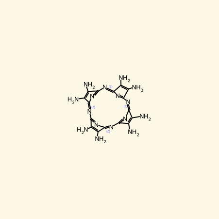 NC1=C(N)/C2=N/C3=NC(=N\C4=NC(=N\C5=NC(=N\C1=N2)/C(N)=C5N)/C(N)=C4N)/C(N)=C3N